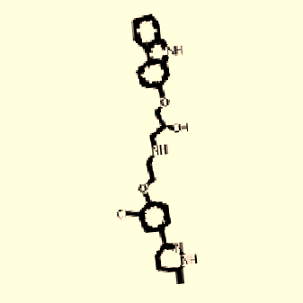 C=C1CCC(c2ccc(OCCNC[C@H](O)COc3ccc4c(c3)[nH]c3ccccc34)c(Cl)c2)=NN1